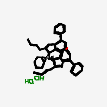 CCCCC1=Cc2c(-c3ccccc3)cccc2[CH]1[Hf]1([CH]2C(CCCC)=Cc3c(-c4ccccc4)cccc32)[CH]2CCCC[CH]21.Cl.Cl